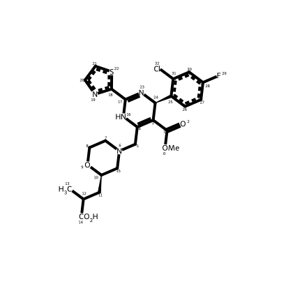 COC(=O)C1=C(CN2CCO[C@H](CC(C)C(=O)O)C2)NC(c2nccs2)=N[C@H]1c1ccc(F)cc1Cl